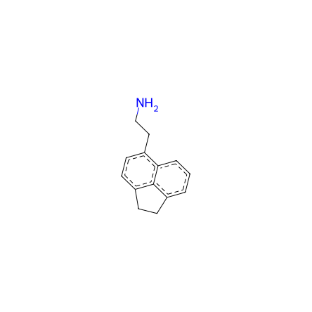 NCCc1ccc2c3c(cccc13)CC2